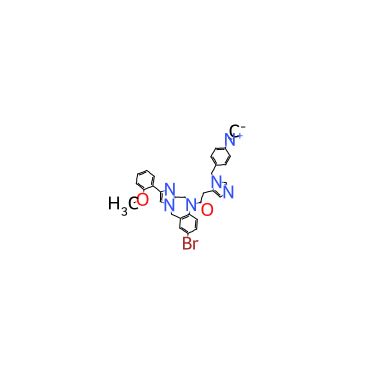 [C-]#[N+]c1ccc(Cn2cncc2CC(=O)N2Cc3nc(-c4ccccc4OC)cn3Cc3cc(Br)ccc32)cc1